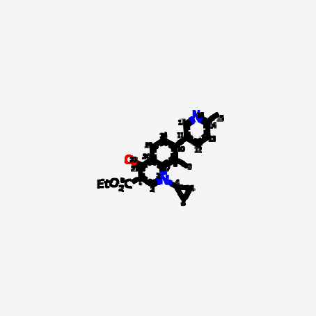 CCOC(=O)c1cn(C2CC2)c2c(C)c(-c3ccc(C)nc3)ccc2c1=O